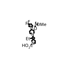 CCC1C(N2CCC(N3CC(F)(F)C[C@@H]3C(=O)N(C)OC)CC2)CC12CCN(C(=O)O)C2